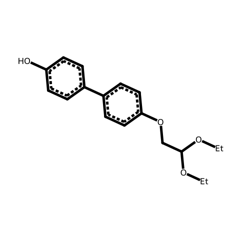 CCOC(COc1ccc(-c2ccc(O)cc2)cc1)OCC